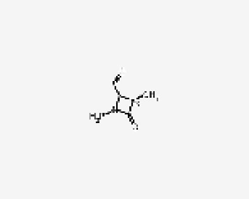 C[C@H]1C(=O)N(P)C1C=O